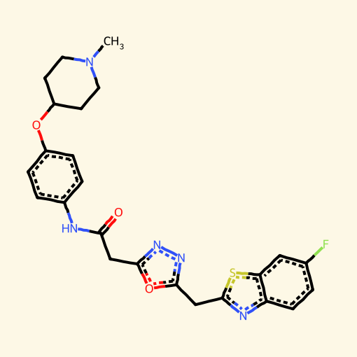 CN1CCC(Oc2ccc(NC(=O)Cc3nnc(Cc4nc5ccc(F)cc5s4)o3)cc2)CC1